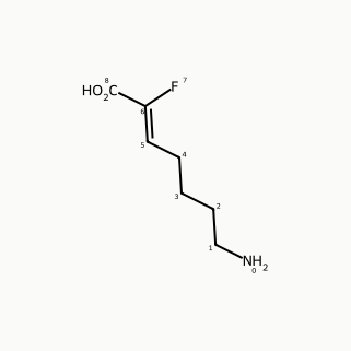 NCCCC/C=C(\F)C(=O)O